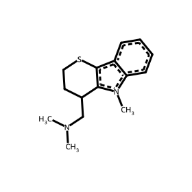 CN(C)CC1CCSc2c1n(C)c1ccccc21